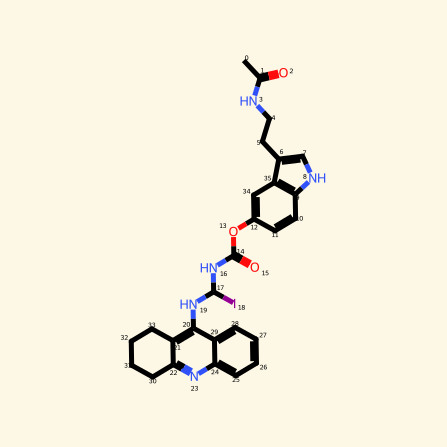 CC(=O)NCCc1c[nH]c2ccc(OC(=O)NC(I)Nc3c4c(nc5ccccc35)CCCC4)cc12